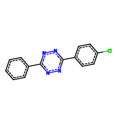 Clc1ccc(-c2nnc(-c3ccccc3)nn2)cc1